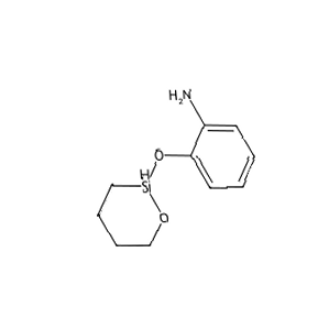 Nc1ccccc1O[SiH]1CCCCO1